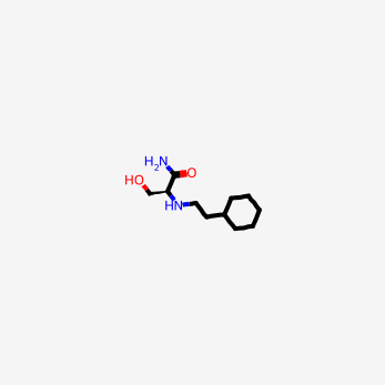 NC(=O)[C@H](CO)NCCC1CCCCC1